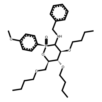 CCCCOC[C@H]1O[P@@](=O)(c2ccc(OC)cc2)C(NCc2ccccc2)[C@@H](OCCCC)[C@@H]1OCCCC